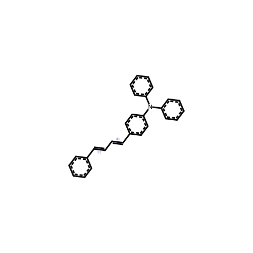 C(/C=C/c1ccc(N(c2ccccc2)c2ccccc2)cc1)=C\c1ccccc1